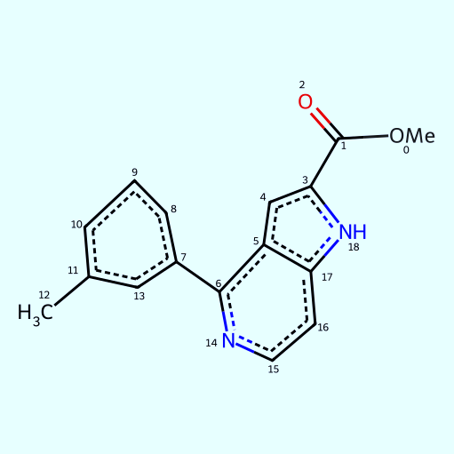 COC(=O)c1cc2c(-c3cccc(C)c3)nccc2[nH]1